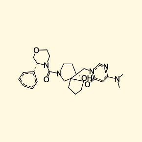 CN(C)c1cc(=O)n(C[C@]2(O)CCN(C(=O)N3CCOC[C@H]3c3ccccc3)CC23CCCC3)cn1